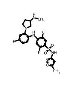 CNC1CCN(c2cc(F)ccc2Nc2cc(F)c(S(=O)(=O)Nc3cc(C)on3)cc2Cl)C1